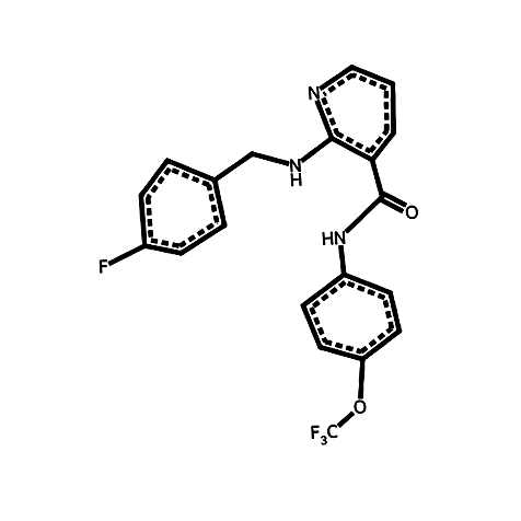 O=C(Nc1ccc(OC(F)(F)F)cc1)c1cccnc1NCc1ccc(F)cc1